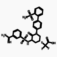 N=C(N)c1cccc(S(=O)(=O)NC2CCCN(c3ccc(-c4ccccc4S(N)(=O)=O)cc3)C2=O)c1.O=C(O)C(F)(F)F